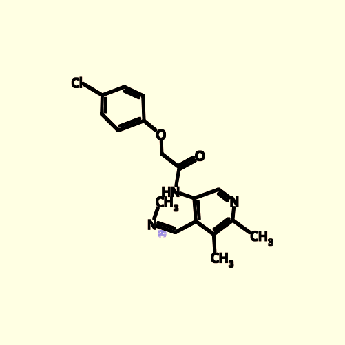 C/N=C\c1c(NC(=O)COc2ccc(Cl)cc2)cnc(C)c1C